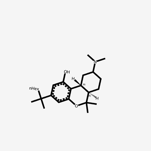 CCCCCCC(C)(C)c1cc(O)c2c(c1)OC(C)(C)[C@@H]1CCC(N(C)C)C[C@@H]21